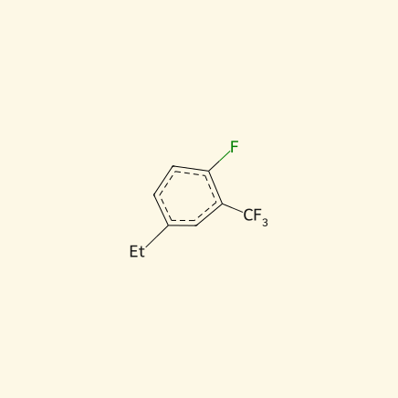 CCc1ccc(F)c(C(F)(F)F)c1